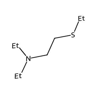 [CH2]CSCCN(CC)CC